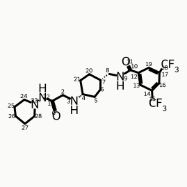 O=C(CN[C@H]1CC[C@@H](CNC(=O)c2cc(C(F)(F)F)cc(C(F)(F)F)c2)CC1)NN1CCCCC1